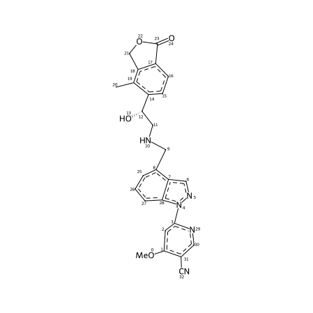 COc1cc(-n2ncc3c(CNC[C@H](O)c4ccc5c(c4C)COC5=O)cccc32)ncc1C#N